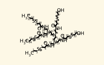 CCCSSCCC(=O)NCCN(CCNC(=O)CCSSCCO)CCN(CCNC(=O)CCSSCCO)CCN(CCNC(=O)CCSSCCC)CCNC(=O)CSSCCC